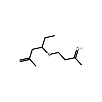 C=C(C)CC(CC)SCCC(C)=N